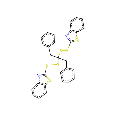 c1ccc(CC(Cc2ccccc2)(SSc2nc3ccccc3s2)SSc2nc3ccccc3s2)cc1